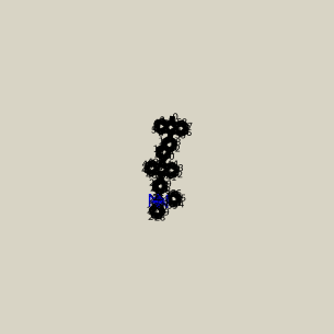 Cc1c2ccccc2c(C2=CC3=CC=C(c4c5c(c(C6=CC=C(c7nc8ccccc8n7C7C=CC=CC7)CC6)c6ccccc46)=CCCC=5)CC3CC2)c2ccccc12